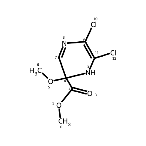 COC(=O)C1(OC)C=NC(Cl)=C(Cl)N1